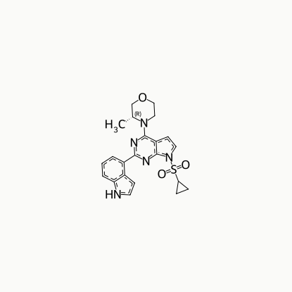 C[C@@H]1COCCN1c1nc(-c2cccc3[nH]ccc23)nc2c1ccn2S(=O)(=O)C1CC1